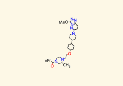 CCCC(=O)N1CCN(CCOc2ccc(C3CCN(c4ccc5nnc(OC)n5n4)CC3)cc2)C(C)C1